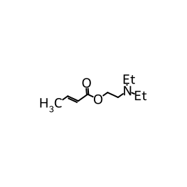 CC=CC(=O)OCCN(CC)CC